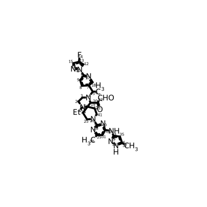 CCN1CCN(C(C)c2ccc(-n3cc(F)cn3)nc2)C(C(=O)C=O)C12CCN(c1nc(C)cc(Nc3cc(C)[nH]n3)n1)CC2